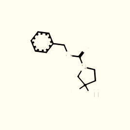 O=C(OCc1ccccc1)N1CCC(O)(O)C1